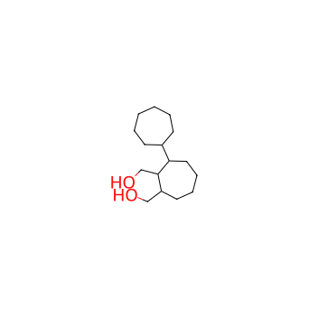 OCC1CCCCC(C2CCCCCC2)C1CO